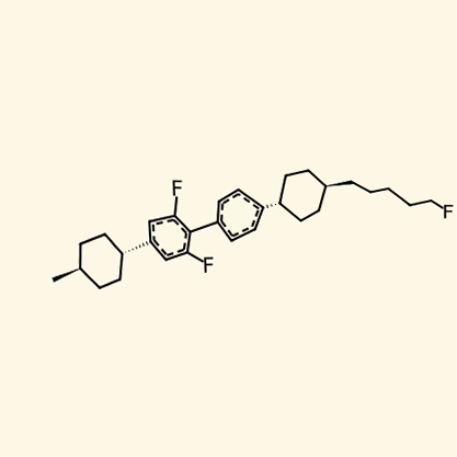 C[C@H]1CC[C@H](c2cc(F)c(-c3ccc([C@H]4CC[C@H](CCCCCF)CC4)cc3)c(F)c2)CC1